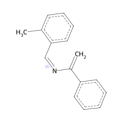 C=C(/N=C\c1ccccc1C)c1ccccc1